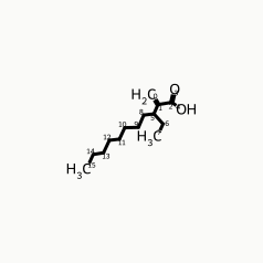 C=C(C(=O)O)C(CC)CCCCCCCC